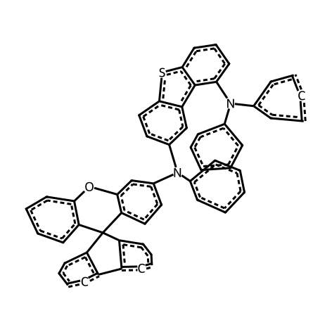 c1ccc(N(c2ccc3c(c2)Oc2ccccc2C32c3ccccc3-c3ccccc32)c2ccc3sc4cccc(N(c5ccccc5)c5ccccc5)c4c3c2)cc1